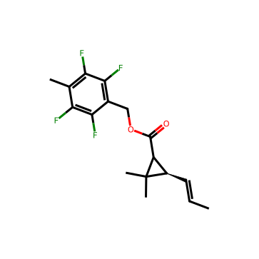 CC=C[C@@H]1C(C(=O)OCc2c(F)c(F)c(C)c(F)c2F)C1(C)C